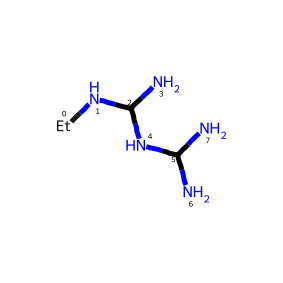 CCNC(N)NC(N)N